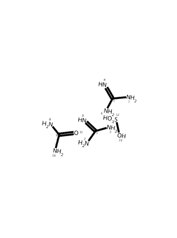 N=C(N)N.N=C(N)N.NC(N)=O.O=S(=O)(O)O